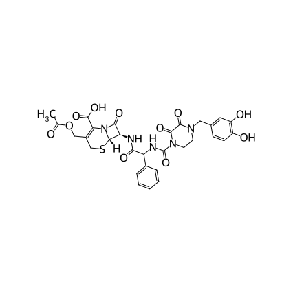 CC(=O)OCC1=C(C(=O)O)N2C(=O)[C@@H](NC(=O)C(NC(=O)N3CCN(Cc4ccc(O)c(O)c4)C(=O)C3=O)c3ccccc3)[C@@H]2SC1